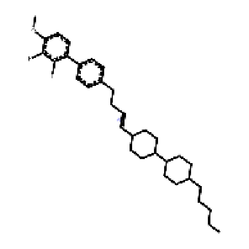 CCCCCC1CCC(C2CCC(/C=C/CCc3ccc(-c4ccc(OC)c(F)c4F)cc3)CC2)CC1